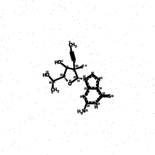 CC#C[C@@]1(F)C(O)[C@@H]([C@@H](C)O)O[C@H]1n1cnc2c(=S)[nH]c(N)nc21